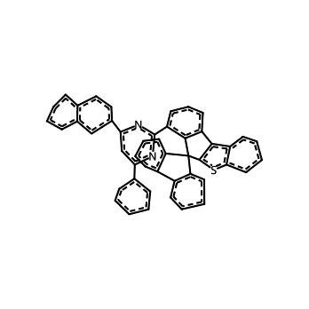 c1ccc(-c2cc(-c3ccc4ccccc4c3)nc(-c3cccc4c3C3(c5ccccc5-c5ccccc53)c3sc5ccccc5c3-4)n2)cc1